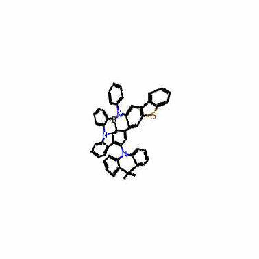 CC1(C)c2ccccc2N(c2cc3c4c5c2c2ccccc2n5-c2ccccc2B4N(c2ccccc2)c2cc4c(cc2-3)sc2ccccc24)c2ccccc21